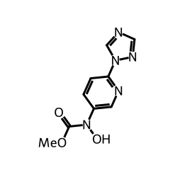 COC(=O)N(O)c1ccc(-n2cncn2)nc1